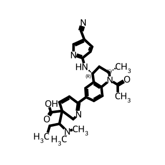 CCC(N(C)C)C1(C(=O)O)C=CC(c2ccc3c(c2)[C@H](Nc2ccc(C#N)cn2)C[C@H](C)N3C(C)=O)=NC1